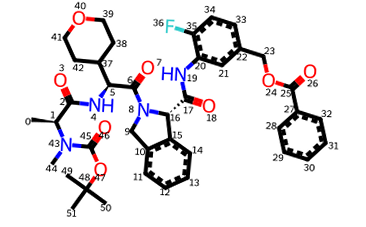 C[C@@H](C(=O)N[C@H](C(=O)N1Cc2ccccc2[C@H]1C(=O)Nc1cc(COC(=O)c2ccccc2)ccc1F)C1CCOCC1)N(C)C(=O)OC(C)(C)C